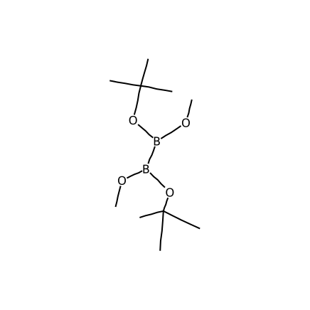 COB(OC(C)(C)C)B(OC)OC(C)(C)C